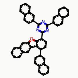 c1ccc2cc(-c3nc(-c4ccc5ccccc5c4)nc(-c4ccc(-c5ccc6ccccc6c5)c5c4oc4cc6ccccc6cc45)n3)ccc2c1